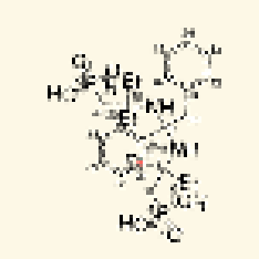 CCC(CC)(CP(=O)(O)O)NC(Cc1ccccc1)(NC(CC)(CC)CP(=O)(O)O)c1ccccc1